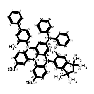 Cc1cc(-c2ccccc2)ccc1N1c2ccc(C(C)(C)C)cc2B2c3cc(C(C)(C)C)ccc3N(c3cc4c(cc3C)C(C)(C)CC4(C)C)c3cc(N(c4ccccc4)c4ccccc4)cc1c32